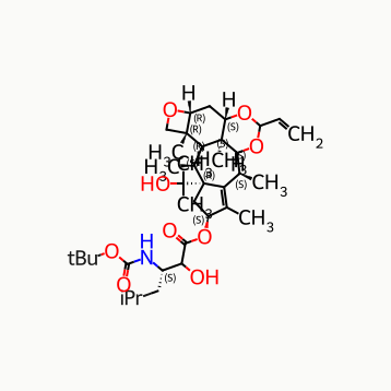 C=CC1O[C@H]2C[C@H]3OC[C@@]3(C)[C@H]3[C@H](C)[C@]4(C(C)(C)O)C[C@H](OC(=O)C(O)[C@H](CC(C)C)NC(=O)OC(C)(C)C)C(C)=C4[C@H](C)[C@H](O1)[C@]23C